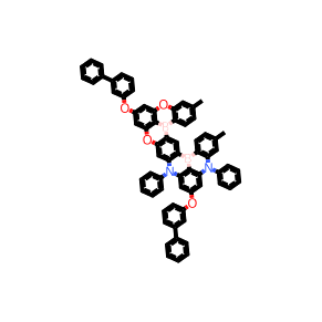 Cc1ccc2c(c1)Oc1cc(Oc3cccc(-c4ccccc4)c3)cc3c1B2c1cc2c(cc1O3)N(c1ccccc1)c1cc(Oc3cccc(-c4ccccc4)c3)cc3c1B2c1ccc(C)cc1N3c1ccccc1